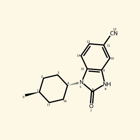 C[C@H]1CC[C@H](n2c(=O)[nH]c3cc(C#N)ccc32)CC1